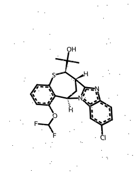 CC(C)(O)[C@@H]1Sc2cccc(OC(F)F)c2[C@H]2C[C@H]1c1nc3ccc(Cl)cc3n12